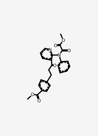 COC(=O)C(=O)N(c1ccccc1)c1ncccc1C(=O)CCc1ccc(C(=O)OC)cc1